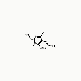 CCCSC1N=C(Cl)C(N=NN)=C(OC)N1I